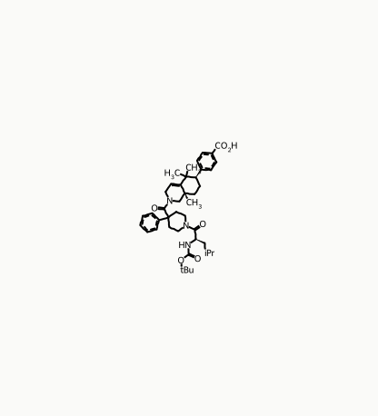 CC(C)C[C@@H](NC(=O)OC(C)(C)C)C(=O)N1CCC(C(=O)N2CC=C3C(C)(C)[C@@H](c4ccc(C(=O)O)cc4)CC[C@]3(C)C2)(c2ccccc2)CC1